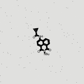 CCCCN1C(=O)c2cccc3c(NC(=O)C4CC4)ccc(c23)C1=O